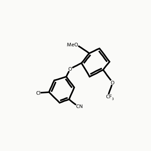 COc1ccc(OC(F)(F)F)cc1Oc1cc(Cl)cc(C#N)c1